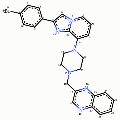 CC(C)(C)c1ccc(-c2cn3cccc(N4CCN(Cc5cnc6ccccc6n5)CC4)c3n2)cc1